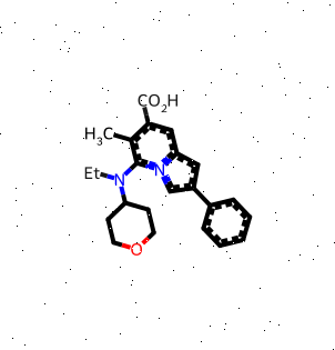 CCN(c1c(C)c(C(=O)O)cc2cc(-c3ccccc3)cn12)C1CCOCC1